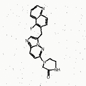 O=C1CN(c2ccc3ncc(Cc4ccc5ncccc5c4F)n3n2)CCN1